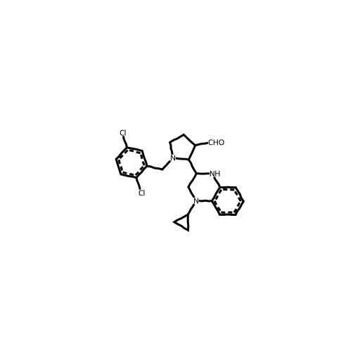 O=CC1CCN(Cc2cc(Cl)ccc2Cl)C1C1CN(C2CC2)c2ccccc2N1